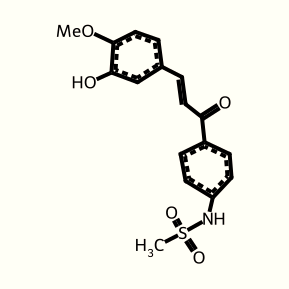 COc1ccc(C=CC(=O)c2ccc(NS(C)(=O)=O)cc2)cc1O